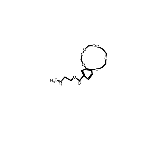 CNCCOC(=O)c1ccc2c(c1)OCCOCCOCCOCCO2